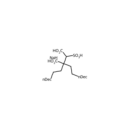 CCCCCCCCCCCCC(CCCCCCCCCCCC)(C(=O)O)C(C(=O)O)S(=O)(=O)O.[NaH]